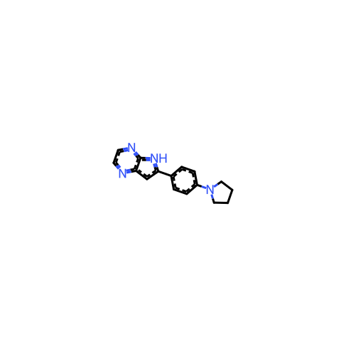 c1cnc2[nH]c(-c3ccc(N4CCCC4)cc3)cc2n1